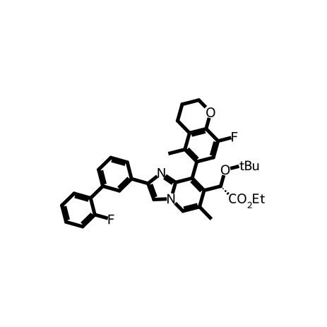 CCOC(=O)[C@@H](OC(C)(C)C)c1c(C)cn2cc(-c3cccc(-c4ccccc4F)c3)nc2c1-c1cc(F)c2c(c1C)CCCO2